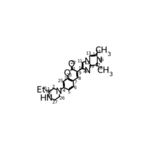 CC[C@H]1CN(c2ccc3cc(-c4cn5cc(C)nc(C)c5n4)c(=O)oc3c2)CCN1